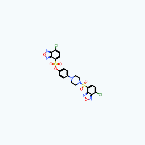 O=S(=O)(Oc1ccc(N2CCN(S(=O)(=O)c3ccc(Cl)c4nonc34)CC2)cc1)c1ccc(Cl)c2nonc12